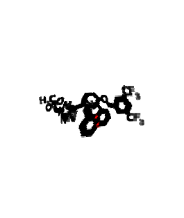 CS(=O)(=O)Cn1nnc(C2CC3(c4ccccc4)C(OCc4cc(C(F)(F)F)cc(C(F)(F)F)c4)CCC2N3Cc2ccccc2)n1